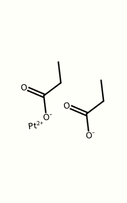 CCC(=O)[O-].CCC(=O)[O-].[Pt+2]